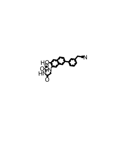 N#CCc1cccc(-c2ccc3cc(O)c(N4CC(=O)NS4(=O)=O)cc3c2)c1